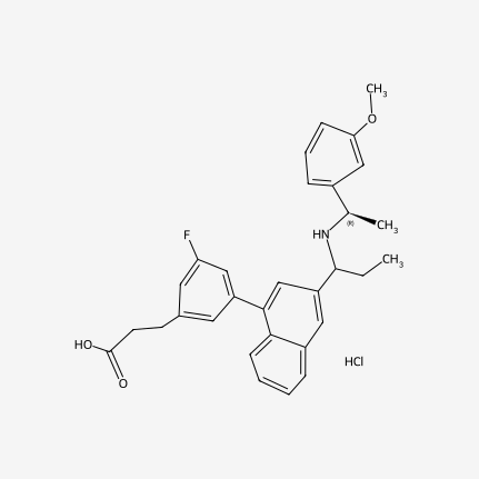 CCC(N[C@H](C)c1cccc(OC)c1)c1cc(-c2cc(F)cc(CCC(=O)O)c2)c2ccccc2c1.Cl